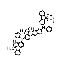 CC1(C)c2ccccc2-c2ccc(N(c3ccccc3)c3ccc4c(c3)C(C)(C)c3cc5cc(N(c6ccccc6)c6ccc7c(c6)C(C)(C)c6ccccc6-7)ccc5cc3-4)cc21